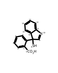 O=C(O)c1ccccc1C1(S)C=Nc2ccccc21